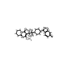 [2H]C([2H])(c1c(C)nc2n(c1=O)CCCC2)C([2H])([2H])N1CCC(c2noc3cc(F)ccc23)CC1